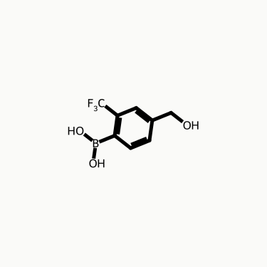 OCc1ccc(B(O)O)c(C(F)(F)F)c1